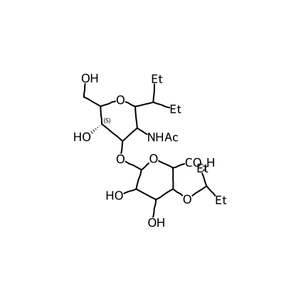 CCC(CC)OC1C(C(=O)O)OC(OC2C(NC(C)=O)C(C(CC)CC)OC(CO)[C@H]2O)C(O)C1O